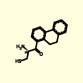 N[C@@H](CS)C(=O)c1cccc2c1CCc1ccccc1-2